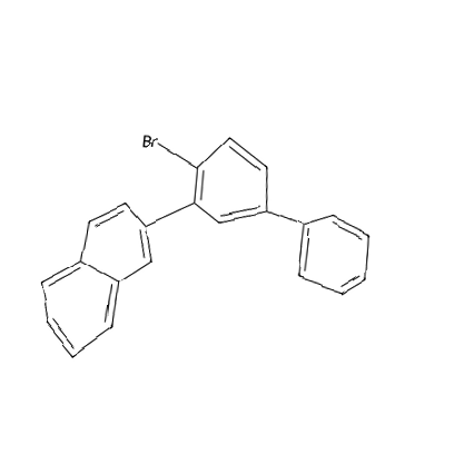 Brc1ccc(-c2ccccc2)cc1-c1ccc2ccccc2c1